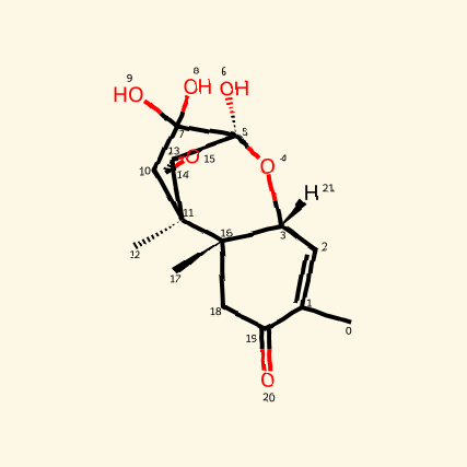 CC1=C[C@H]2O[C@]3(O)C(O)(O)C[C@@](C)([C@]34CO4)[C@@]2(C)CC1=O